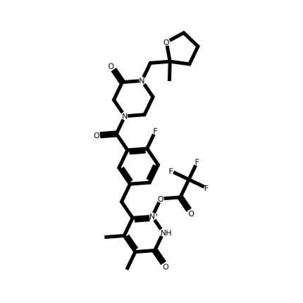 Cc1c(C)c(=O)[nH][n+](OC(=O)C(F)(F)F)c1Cc1ccc(F)c(C(=O)N2CCN(CC3(C)CCCO3)C(=O)C2)c1